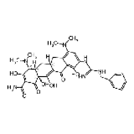 CN(C)c1cc(NC(=N)NCc2ccccc2)c(O)c2c1C[C@H]1C[C@H]3[C@H](N(C)C)C(O)=C(C(N)=O)C(=O)[C@@]3(O)C(O)=C1C2=O